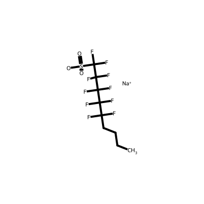 CCCCC(F)(F)C(F)(F)C(F)(F)C(F)(F)C(F)(F)S(=O)(=O)[O-].[Na+]